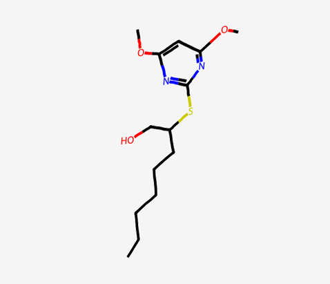 CCCCCCC(CO)Sc1nc(OC)cc(OC)n1